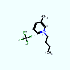 CCCC[n+]1cccc(C)c1.F[B-](F)(F)F